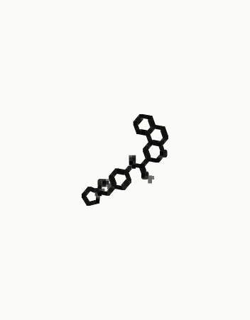 C[N+]1(Cc2ccc(NC(=O)C3=Cc4c(ccc5ccccc45)OC3)cc2)CCCC1.[I-]